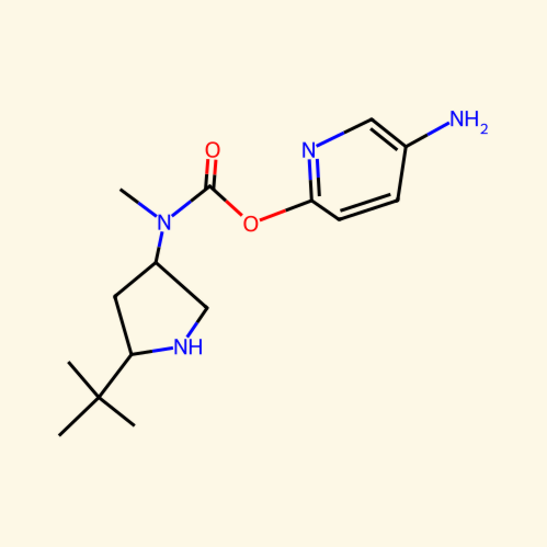 CN(C(=O)Oc1ccc(N)cn1)C1CNC(C(C)(C)C)C1